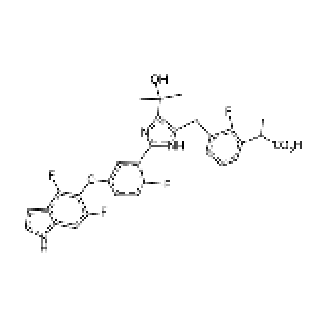 CC(C(=O)O)c1cccc(Cc2[nH]c(-c3cc(Oc4c(F)cc5[nH]ccc5c4F)ccc3F)nc2C(C)(C)O)c1F